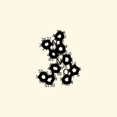 c1cc(-c2cccc3c2oc2ccccc23)cc(N(c2ccc(-c3ccccc3-n3c4ccccc4c4ccccc43)cc2)c2ccc(-c3cccc4ccccc34)cc2)c1